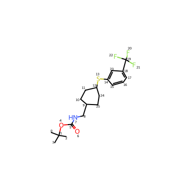 CC(C)(C)OC(=O)NCC1CCC(Sc2cccc(C(F)(F)F)c2)CC1